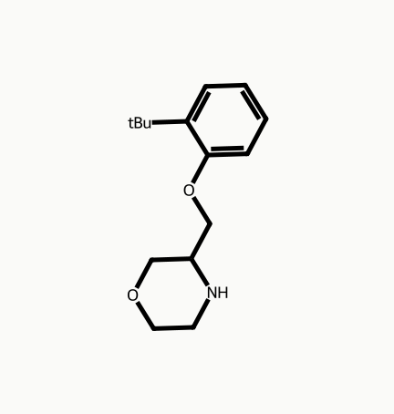 CC(C)(C)c1ccccc1OCC1COCCN1